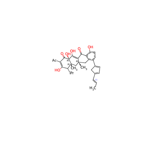 C/C=C/C1=CC=C(c2ccc(O)c3c2C[C@]2(C)C[C@]4(C)C(C(C)C)C(O)=C(C(C)=O)C(=O)[C@]4(O)C(O)=C2C3=O)C1